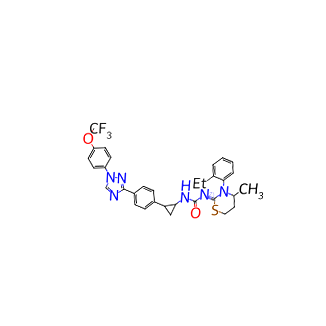 CCc1ccccc1N1/C(=N/C(=O)NC2CC2c2ccc(-c3ncn(-c4ccc(OC(F)(F)F)cc4)n3)cc2)SCCC1C